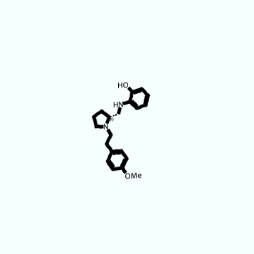 COc1ccc(CCN2CCC[C@@H]2CNc2ccccc2O)cc1